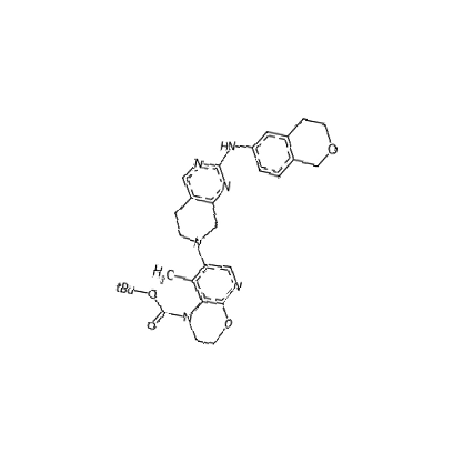 Cc1c(N2CCc3cnc(Nc4ccc5c(c4)CCOC5)nc3C2)cnc2c1N(C(=O)OC(C)(C)C)CCO2